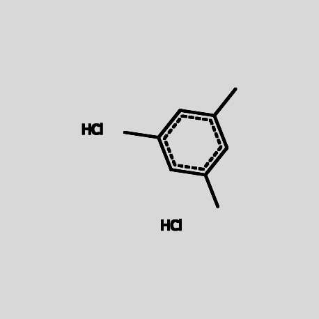 Cc1cc(C)cc(C)c1.Cl.Cl